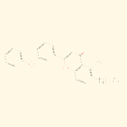 CC(=O)Nc1ccc2oc(-c3cccc(Oc4ccccc4)c3)cc(=O)c2c1Br